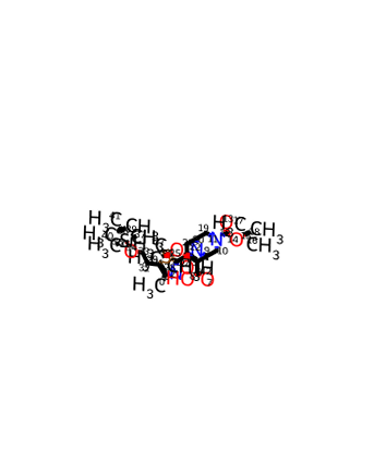 Cc1nc(C2=C(C(=O)O)[C@H]3CN(C(=O)OC(C)(C)C)CC(C2)N3C(=O)OC(C)(C)C)sc1CCO[Si](C)(C)C(C)(C)C